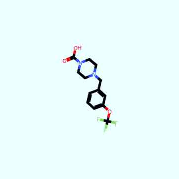 O=C(O)N1CCN(Cc2cccc(OC(F)(F)F)c2)CC1